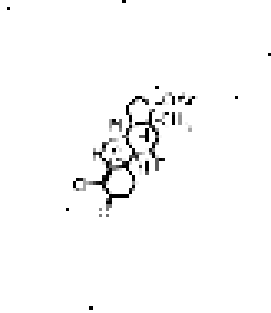 CC(=O)OC1CC[C@H]2[C@@H]3CCC4=C(Cl)C(=O)CC[C@]4(C)[C@@H]3C(F)C[C@]12C